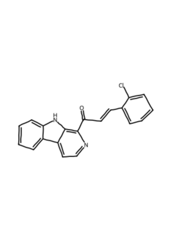 O=C(/C=C/c1ccccc1Cl)c1nccc2c1[nH]c1ccccc12